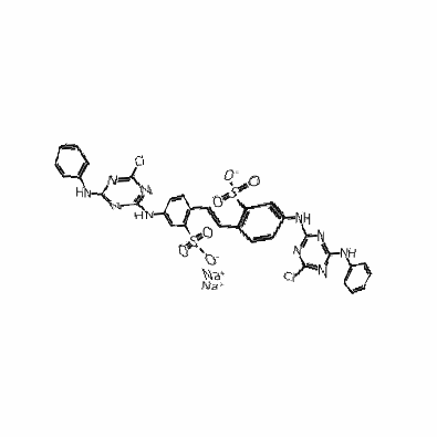 O=S(=O)([O-])c1cc(Nc2nc(Cl)nc(Nc3ccccc3)n2)ccc1C=Cc1ccc(Nc2nc(Cl)nc(Nc3ccccc3)n2)cc1S(=O)(=O)[O-].[Na+].[Na+]